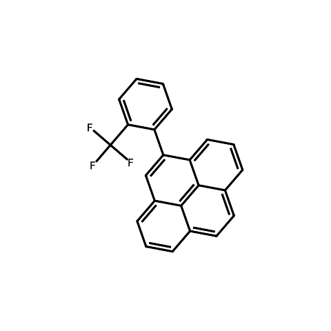 FC(F)(F)c1ccccc1-c1cc2cccc3ccc4cccc1c4c32